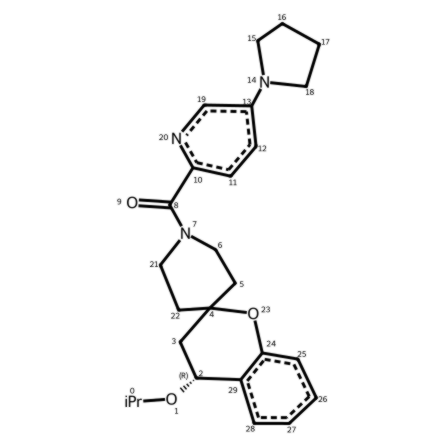 CC(C)O[C@@H]1CC2(CCN(C(=O)c3ccc(N4CCCC4)cn3)CC2)Oc2ccccc21